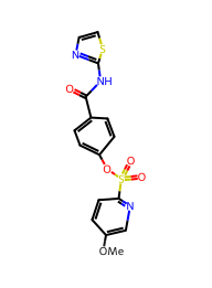 COc1ccc(S(=O)(=O)Oc2ccc(C(=O)Nc3nccs3)cc2)nc1